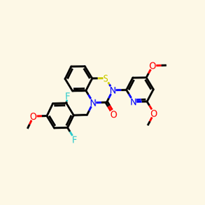 COc1cc(OC)nc(N2Sc3ccccc3N(Cc3c(F)cc(OC)cc3F)C2=O)c1